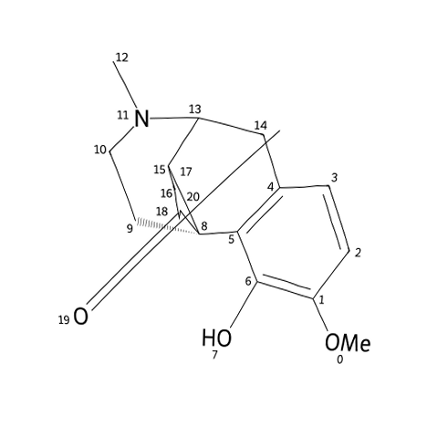 COc1ccc2c(c1O)[C@]13CCN(C)C(C2)C1CCC(=O)C3